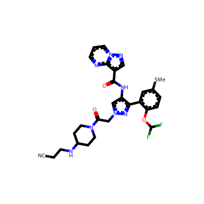 CSc1ccc(OC(F)F)c(-c2nn(CC(=O)N3CCC(NCCC#N)CC3)cc2NC(=O)c2cnn3cccnc23)c1